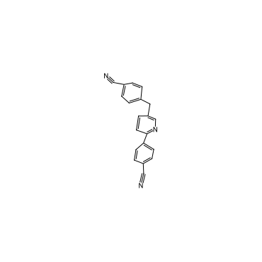 N#Cc1ccc(Cc2ccc(-c3ccc(C#N)cc3)nc2)cc1